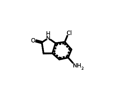 Nc1cc(Cl)c2c(c1)CC(=O)N2